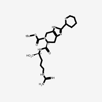 CC(C)(C)OC(=O)N1Cc2[nH]c(C3CCCCS3)nc2C[C@H]1C(=O)N[C@@H](CCCNC(=N)N)C(=O)O